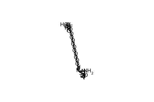 CCCN(OCC)C(=O)C1=Cc2sc(CN3CCC(N(C)CCOCCOCCOCCOCCOCCOCCOCCOCCOCCOCCC(=O)Oc4c(F)c(F)c(S(=O)(=O)O)c(F)c4F)C3)cc2N=C(N)C1